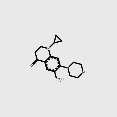 O=C(O)c1cc2c(cc1N1CCNCC1)N(C1CC1)CCC2=O